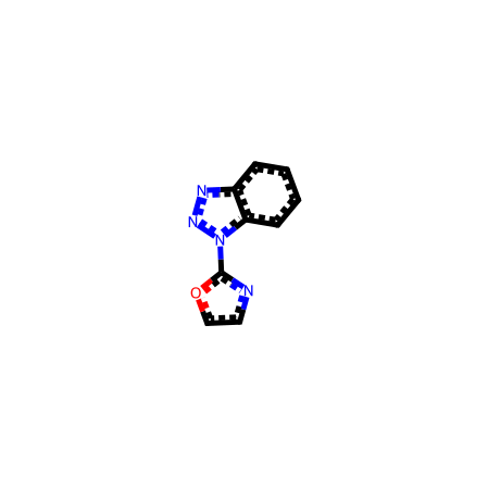 c1ccc2c(c1)nnn2-c1ncco1